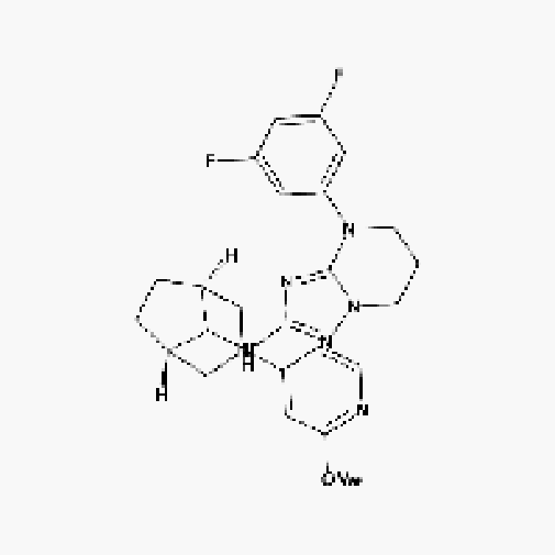 COc1cc(N2C[C@@H]3CC[C@@H](C2)C3Nc2nc3n(n2)CCCN3c2cc(F)cc(F)c2)ccn1